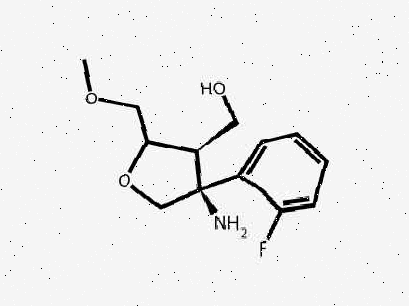 COCC1OC[C@@](N)(c2ccccc2F)[C@@H]1CO